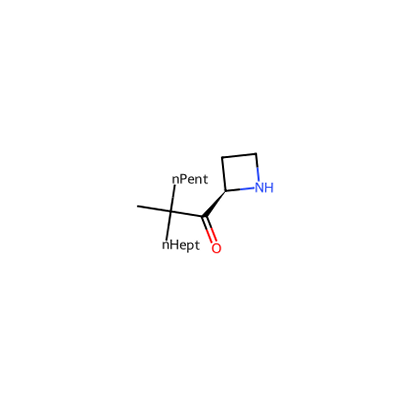 CCCCCCCC(C)(CCCCC)C(=O)[C@H]1CCN1